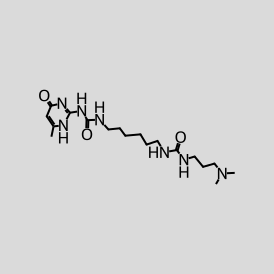 Cc1cc(=O)nc(NC(=O)NCCCCCCNC(=O)NCCCN(C)C)[nH]1